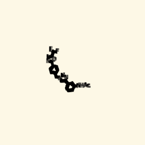 CC(=O)Nc1cccc(-c2cn(Cc3ccc(-c4nnc(C(F)F)o4)cc3)nn2)c1